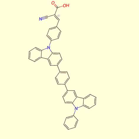 N#C/C(=C\c1ccc(-n2c3ccccc3c3cc(-c4ccc(-c5ccc6c(c5)c5ccccc5n6-c5ccccc5)cc4)ccc32)cc1)C(=O)O